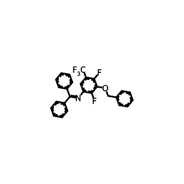 Fc1c(N=C(c2ccccc2)c2ccccc2)cc(C(F)(F)F)c(F)c1OCc1ccccc1